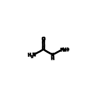 NC(=O)[NH][PbH]